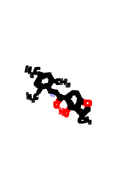 Cc1cc(C)c(/C=C/C(=O)c2ccc3occ(C)c3c2O)c(C)c1